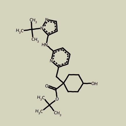 CC(C)(C)OC(=O)C1(Cc2cccc(Nc3ccnn3C(C)(C)C)n2)CCC(O)CC1